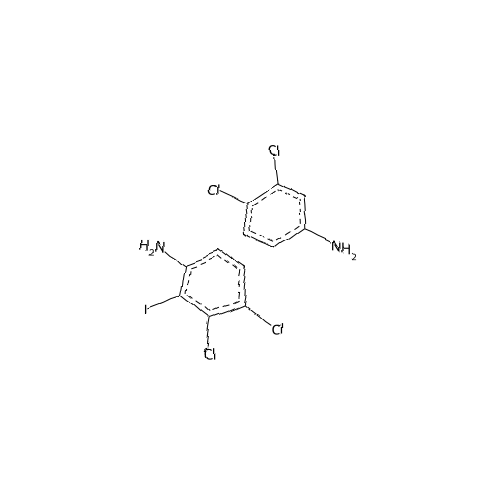 Nc1ccc(Cl)c(Cl)c1.Nc1ccc(Cl)c(Cl)c1I